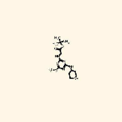 COc1nc(NCC(=O)OC(C)(C)C)nc(NC2CCNCC2)n1